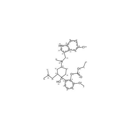 CCOC(=O)Oc1c(OC)cccc1C1(O)CCC(N(C)Cc2c[nH]c3ccc(Cl)cc23)CC1CN(C)C